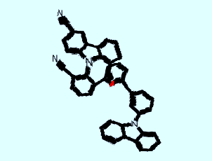 N#Cc1ccc2c(c1)c1cccc(C#N)c1n2-c1c(C#N)cccc1-c1cccc(-c2cccc(N3c4ccccc4C4C=CC=CC43)c2)c1